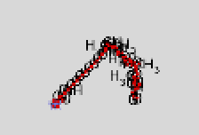 COc1cc2c(cc1OCCCOc1cc3c(cc1OC)C(=O)N1C=C(c4ccc5c(c4)OCO5)C[C@H]1C=N3)N=C[C@@H]1CC(c3ccc(NC(=O)[C@H](C)NC(=O)C(NC(=O)CCOCCOCCOCCOCCOCCOCCOCCOCCNC(=O)CCN4C(=O)CC(C5=C/C=C\C=C/C=C\5)C4=O)C(C)C)cc3)=CN1C2=O